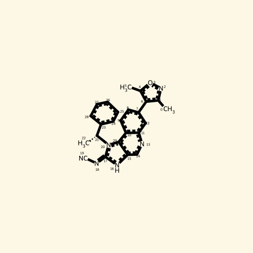 Cc1noc(C)c1-c1ccc2c(c1)ncc1[nH]c(=NC#N)n([C@H](C)c3ccccc3)c12